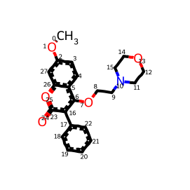 COc1ccc2c(OCCN3CCOCC3)c(-c3ccccc3)c(=O)oc2c1